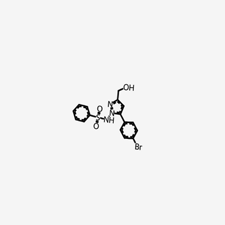 O=S(=O)(Nn1nc(CO)cc1-c1ccc(Br)cc1)c1ccccc1